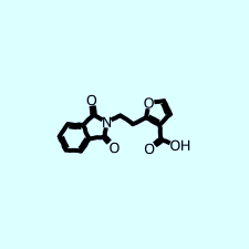 O=C(O)c1ccoc1CCN1C(=O)c2ccccc2C1=O